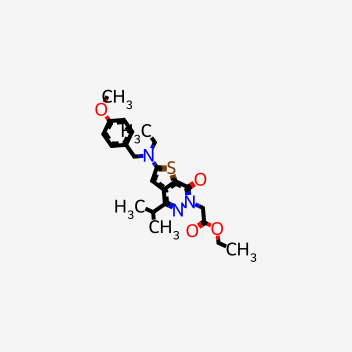 CCOC(=O)Cn1nc(C(C)C)c2cc(N(CC)Cc3ccc(OC)cc3)sc2c1=O